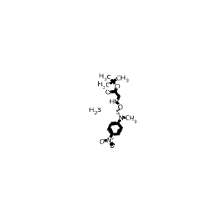 CN(SONCC(=O)OC(C)(C)C)c1ccc([N+](=O)[O-])cc1.S